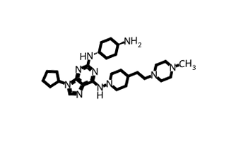 CN1CCN(CCC2CCN(Nc3nc(N[C@H]4CC[C@H](N)CC4)nc4c3ncn4C3CCCC3)CC2)CC1